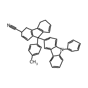 Cc1ccc(C2(c3ccc4c(c3)c3ccccc3n4-c3ccccc3)C3=C(CCC=C3)C3=C2C=CC(C#N)C3)cc1